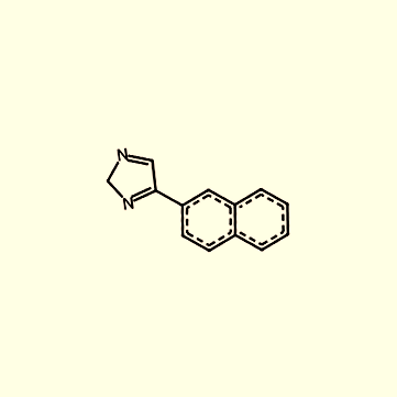 C1=NCN=C1c1ccc2ccccc2c1